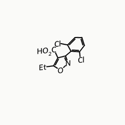 CCc1onc(-c2c(Cl)cccc2Cl)c1C(=O)O